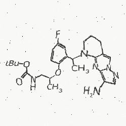 CC(CNC(=O)OC(C)(C)C)Oc1ccc(F)cc1C(C)N1CCCc2cn3ncc(N)c3nc21